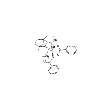 CPC12NC(PC)(C(OC(=O)c3ccccc3)C1OC(=O)c1ccccc1)C1C2C2(C)CCC1(C)C2